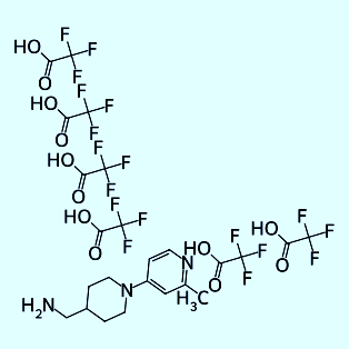 Cc1cc(N2CCC(CN)CC2)ccn1.O=C(O)C(F)(F)F.O=C(O)C(F)(F)F.O=C(O)C(F)(F)F.O=C(O)C(F)(F)F.O=C(O)C(F)(F)F.O=C(O)C(F)(F)F